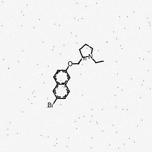 CCN1CCC[C@@H]1COc1ccc2cc(Br)ccc2c1